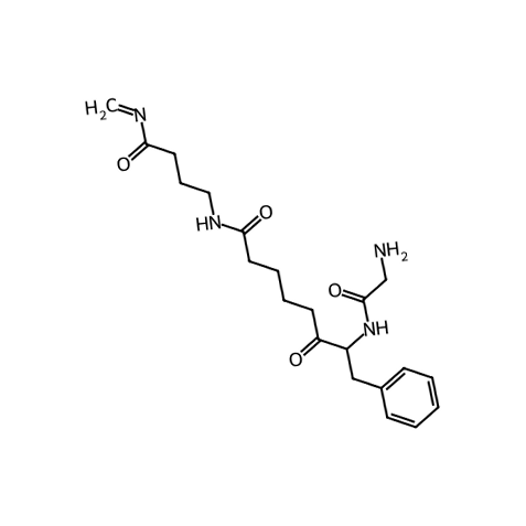 C=NC(=O)CCCNC(=O)CCCCC(=O)C(Cc1ccccc1)NC(=O)CN